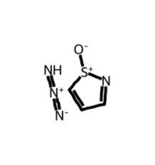 [N-]=[N+]=N.[O-][s+]1cccn1